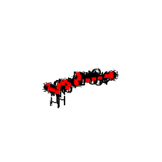 CN1C(=O)C(NC(=O)c2n[nH]c(Cc3ccccc3)n2)COc2cc(N3CCC4(CCOC(C5CC6CCN5CCN6c5ccc6c(c5)N(C)C(=O)[C@H](NC(=O)c5cc(Cc7ccccc7)on5)CO6)C4)CC3)ccc21